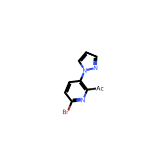 CC(=O)c1nc(Br)ccc1-n1cccn1